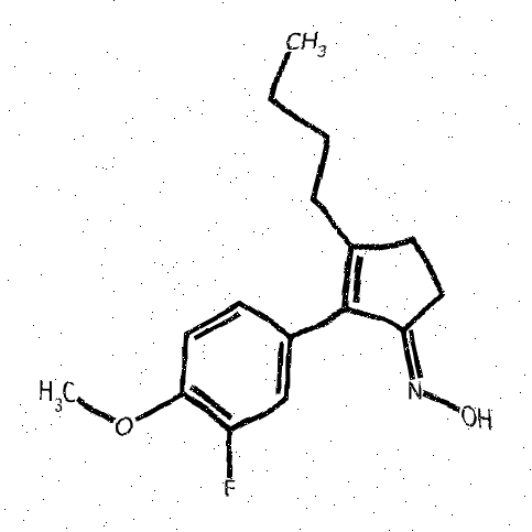 CCCCC1=C(c2ccc(OC)c(F)c2)C(=NO)CC1